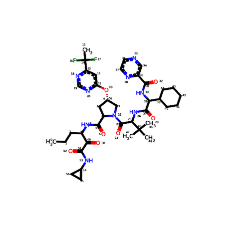 CCCC(NC(=O)C1C[C@H](Oc2cc(C(C)(F)F)ncn2)CN1C(=O)C(NC(=O)C(NC(=O)c1cnccn1)C1CCCCC1)C(C)(C)C)C(=O)C(=O)NC1CC1